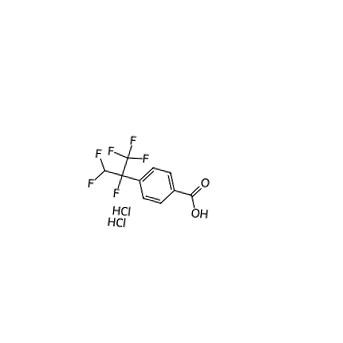 Cl.Cl.O=C(O)c1ccc(C(F)(C(F)F)C(F)(F)F)cc1